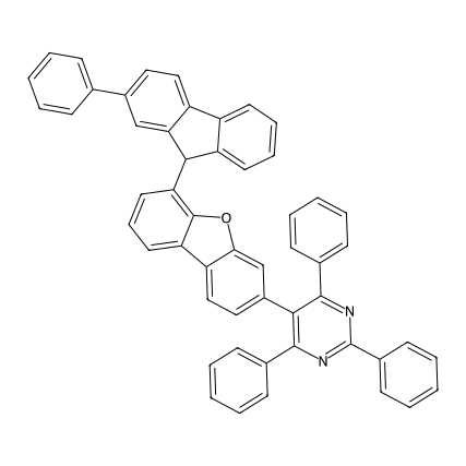 c1ccc(-c2ccc3c(c2)C(c2cccc4c2oc2cc(-c5c(-c6ccccc6)nc(-c6ccccc6)nc5-c5ccccc5)ccc24)c2ccccc2-3)cc1